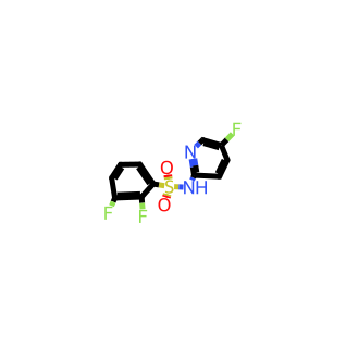 O=S(=O)(Nc1ccc(F)cn1)c1cccc(F)c1F